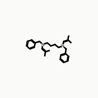 CC(C)=CN(CCCCN(C=C(C)C)Cc1ccccc1)Cc1ccccc1